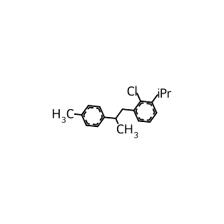 Cc1ccc(C(C)Cc2cccc(C(C)C)c2Cl)cc1